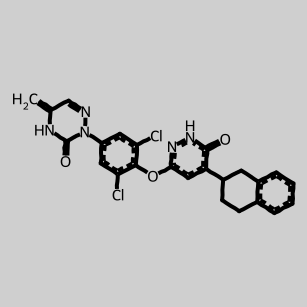 C=C1C=NN(c2cc(Cl)c(Oc3cc(C4CCc5ccccc5C4)c(=O)[nH]n3)c(Cl)c2)C(=O)N1